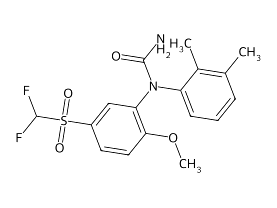 COc1ccc(S(=O)(=O)C(F)F)cc1N(C(N)=O)c1cccc(C)c1C